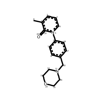 Cc1cccn(-c2ccc(CN3CCOCC3)cc2)c1=O